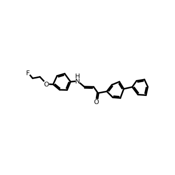 O=C(C=CNc1ccc(OCCF)cc1)c1ccc(-c2ccccc2)cc1